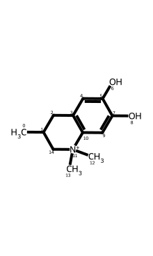 CC1Cc2cc(O)c(O)cc2[N+](C)(C)C1